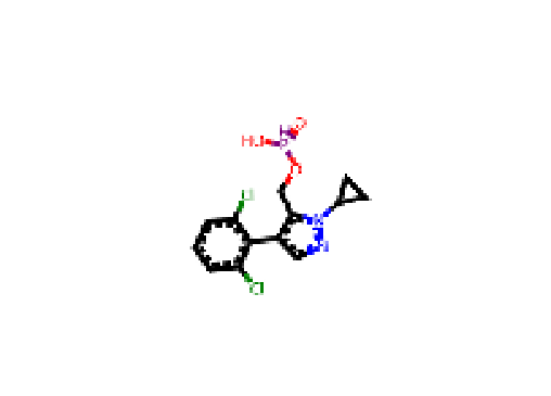 O=[PH](O)OCc1c(-c2c(Cl)cccc2Cl)cnn1C1CC1